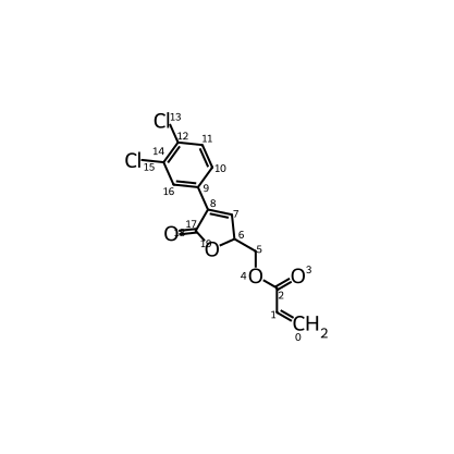 C=CC(=O)OCC1C=C(c2ccc(Cl)c(Cl)c2)C(=O)O1